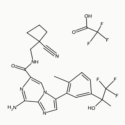 Cc1ccc(C(C)(O)C(F)(F)F)cc1-c1cnc2c(N)nc(C(=O)NCC3(C#N)CCC3)cn12.O=C(O)C(F)(F)F